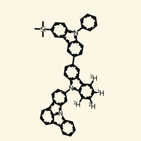 [2H]c1c([2H])c([2H])c2c(c1[2H])c1cc(-c3ccc4c(c3)c3cc([Si](C)(C)C)ccc3n4-c3ccccc3)ccc1n2-c1ccc2c3cccc4c5ccccc5n(c2c1)c43